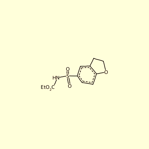 CCOC(=O)NS(=O)(=O)c1ccc2c(c1)CCO2